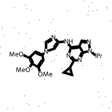 COc1cc(-n2cnc(Nc3nc(C4CC4)nc4c3cnn4C(C)C)c2)cc(OC)c1OC